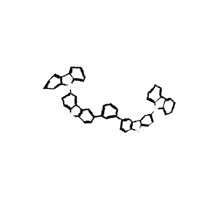 c1cc(-c2ccc3[nH]c4ccc(-n5c6ccccc6c6ccccc65)cc4c3c2)cc(-c2ccc3oc4ccc(-n5c6ccccc6c6ccccc65)cc4c3c2)c1